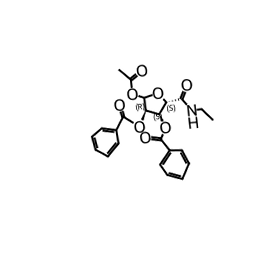 CCNC(=O)[C@H]1OC(OC(C)=O)[C@H](OC(=O)c2ccccc2)[C@@H]1OC(=O)c1ccccc1